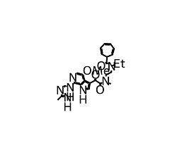 CCN(CCN(C)C(=O)C(=O)c1c[nH]c2c(N/C=N\C(C)=N)ncc(OC)c12)C(=O)C1C=CC=CC=C1